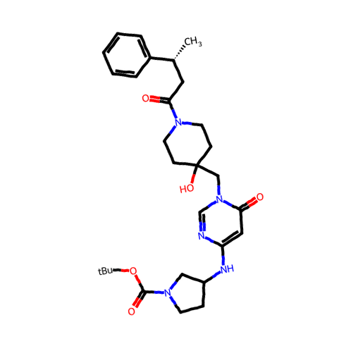 C[C@H](CC(=O)N1CCC(O)(Cn2cnc(NC3CCN(C(=O)OC(C)(C)C)C3)cc2=O)CC1)c1ccccc1